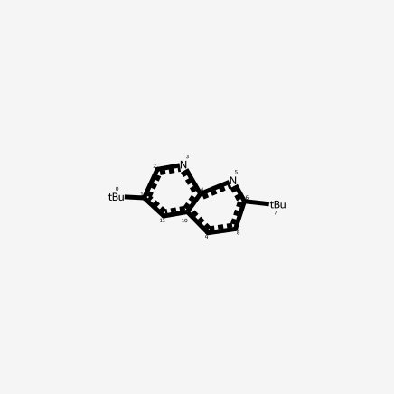 CC(C)(C)c1cnc2nc(C(C)(C)C)ccc2c1